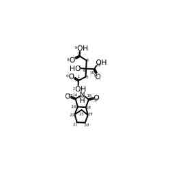 O=C(O)CC(O)(CC(=O)O)C(=O)O.O=C1NC(=O)C2C3CCC(C3)C12